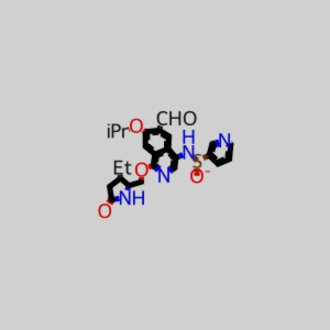 CCC1CC(=O)NC1COc1ncc(N[S+]([O-])c2cccnc2)c2cc(C=O)c(OC(C)C)cc12